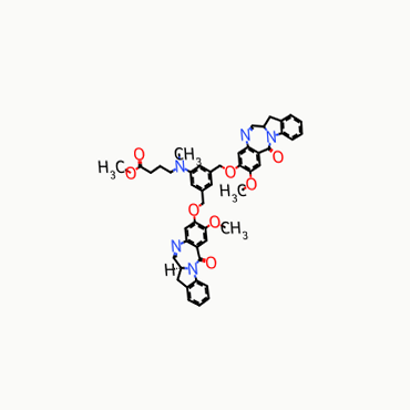 COC(=O)CCCN(C)c1cc(COc2cc3c(cc2OC)C(=O)N2c4ccccc4CC2C=N3)cc(COc2cc3c(cc2OC)C(=O)N2c4ccccc4C[C@H]2C=N3)c1